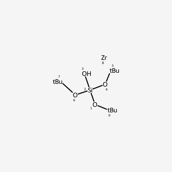 CC(C)(C)O[Si](O)(OC(C)(C)C)OC(C)(C)C.[Zr]